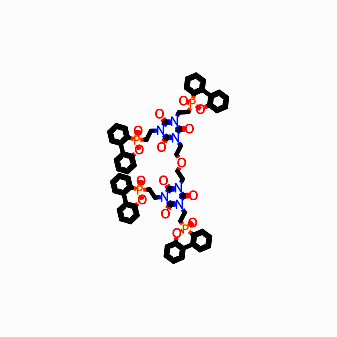 O=c1n(CCOCCn2c(=O)n(CCP3(=O)Oc4ccccc4-c4ccccc43)c(=O)n(CCP3(=O)Oc4ccccc4-c4ccccc43)c2=O)c(=O)n(CCP2(=O)Oc3ccccc3-c3ccccc32)c(=O)n1CCP1(=O)Oc2ccccc2-c2ccccc21